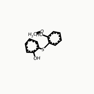 C=O.Oc1ccccc1Sc1ccccc1O